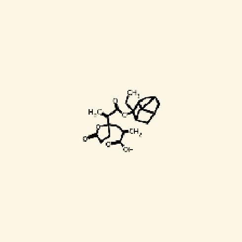 C=C(CC1(C(=C)C(=O)OC2(CC)C3CC4CC(C3)CC2C4)CCC(=O)O1)C(=O)O